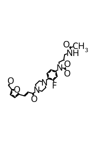 CC(=O)NCC1CN(c2ccc(N3CCN(C(=O)C=Cc4ccc(C=O)o4)CC3)c(F)c2)C(=O)O1